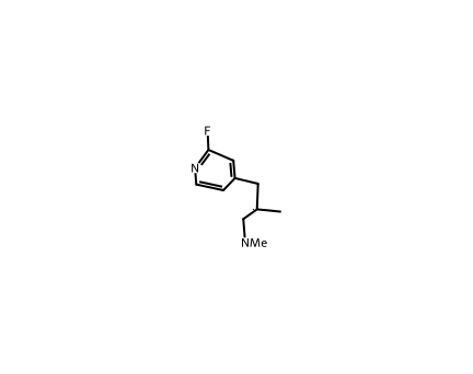 CNC[C](C)Cc1ccnc(F)c1